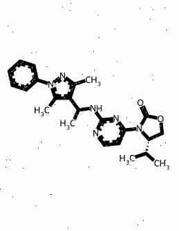 Cc1nn(-c2ccccc2)c(C)c1C(C)Nc1nccc(N2C(=O)OC[C@@H]2C(C)C)n1